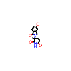 CC1(N2Cc3cc(O)ccc3C2=O)CCC(=O)NC1=O